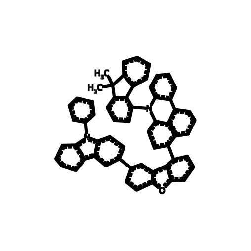 CC1(C)c2ccccc2-c2c(N(c3ccc(-c4cccc5oc6ccc(-c7ccc8c(c7)c7ccccc7n8-c7ccccc7)cc6c45)cc3)c3ccccc3-c3ccccc3)cccc21